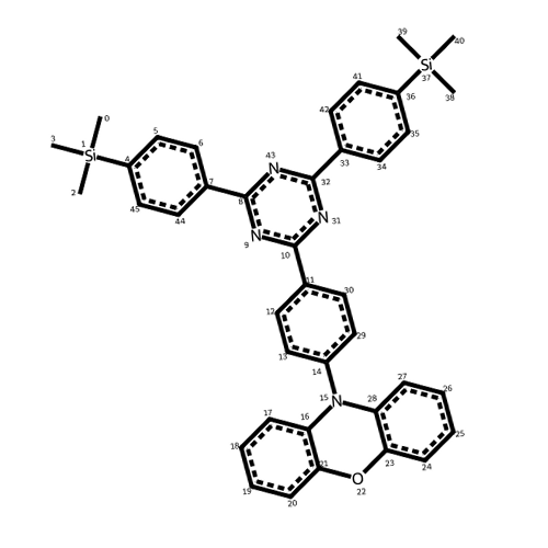 C[Si](C)(C)c1ccc(-c2nc(-c3ccc(N4c5ccccc5Oc5ccccc54)cc3)nc(-c3ccc([Si](C)(C)C)cc3)n2)cc1